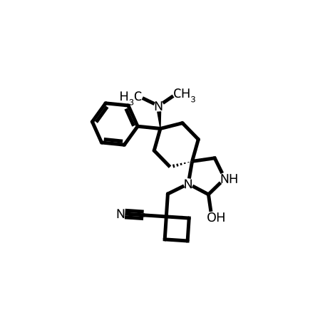 CN(C)[C@]1(c2ccccc2)CC[C@]2(CC1)CNC(O)N2CC1(C#N)CCC1